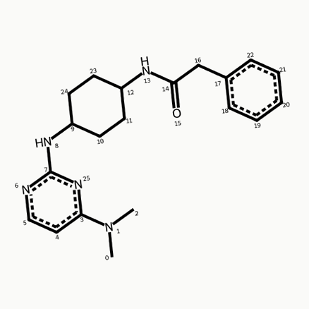 CN(C)c1ccnc(NC2CCC(NC(=O)Cc3ccccc3)CC2)n1